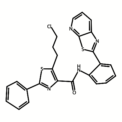 O=C(Nc1ccccc1-c1nc2cccnc2s1)c1nc(-c2ccccc2)sc1CCCCl